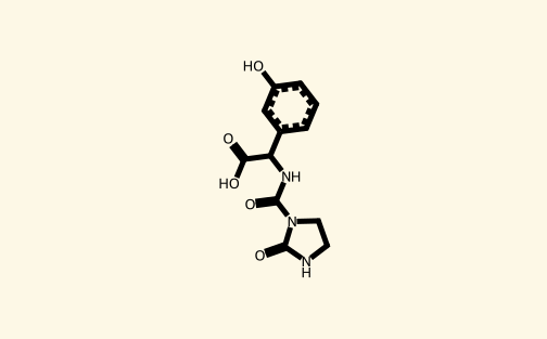 O=C(O)C(NC(=O)N1CCNC1=O)c1cccc(O)c1